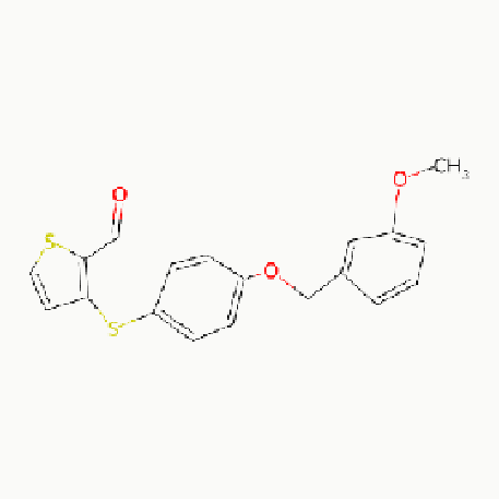 COc1cccc(COc2ccc(Sc3ccsc3C=O)cc2)c1